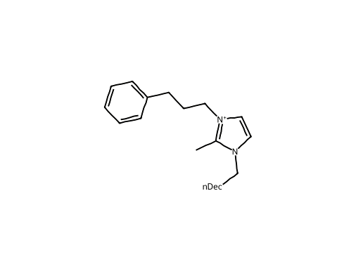 CCCCCCCCCCCn1cc[n+](CCCc2ccccc2)c1C